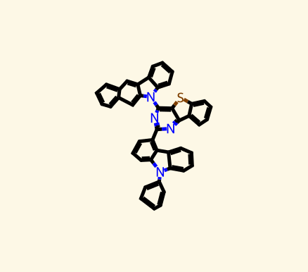 c1ccc(-n2c3ccccc3c3c(-c4nc(-n5c6ccccc6c6cc7ccccc7cc65)c5sc6ccccc6c5n4)cccc32)cc1